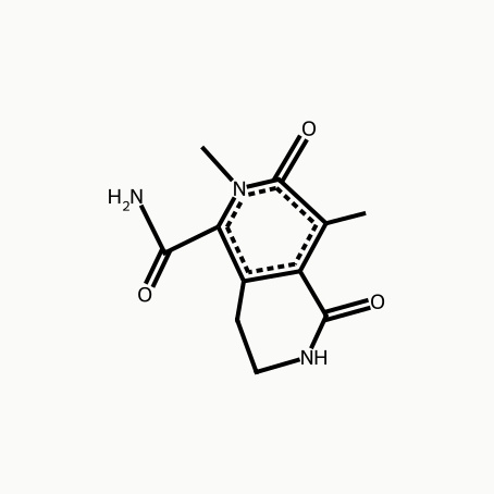 Cc1c2c(c(C(N)=O)n(C)c1=O)CCNC2=O